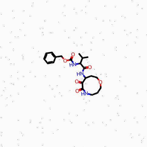 CC(C)C(NC(=O)OCc1ccccc1)C(=O)NC1CCOCCCNC(=O)C1=O